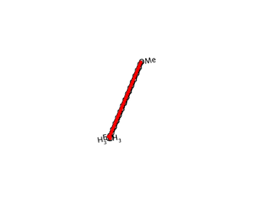 CCC(C)(C)C(=O)OCCOCCOCCOCCOCCOCCOCCOCCOCCOCCOCCOCCOCCOCCOCCOCCOCCOCCOCCOCCOCCOCCOCCOCCOCCOC